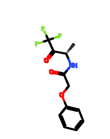 C[C@H](NC(=O)COc1ccccc1)C(=O)C(F)(F)F